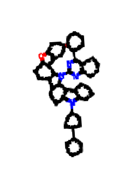 c1ccc(-c2ccc(-n3c4ccccc4c4c3ccc3c5ccc6oc7ccccc7c6c5n(-c5nc(-c6ccccc6)c6ccccc6n5)c34)cc2)cc1